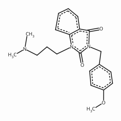 COc1ccc(Cn2c(=O)c3ccccc3n(CCCN(C)C)c2=O)cc1